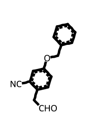 N#Cc1cc(OCc2ccccc2)ccc1CC=O